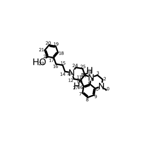 CN1CCN2c3c(cccc31)[C@@H]1CN(CCCc3ccccc3O)CC[C@@H]12